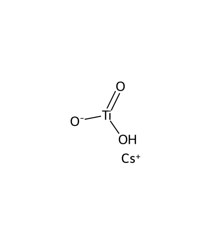 [Cs+].[O]=[Ti]([O-])[OH]